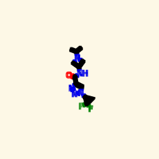 CC(C)N1CC(NC(=O)c2cn(C3CC3(F)F)nn2)C1